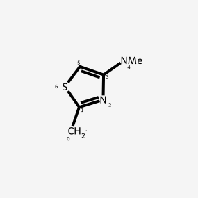 [CH2]c1nc(NC)cs1